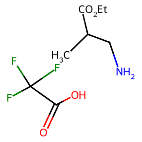 CCOC(=O)C(C)CN.O=C(O)C(F)(F)F